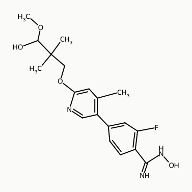 COC(O)C(C)(C)COc1cc(C)c(-c2ccc(C(=N)NO)c(F)c2)cn1